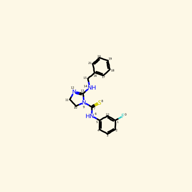 Fc1cccc(NC(=S)N2CCN=C2NCc2ccccc2)c1